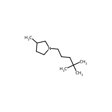 CC1CCN(CCCC(C)(C)C)C1